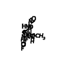 Cc1cc(Nc2nc(C(F)(F)c3ccc(F)cc3)nc3ccc(CNC(=O)CN4CCOCC4)n23)n[nH]1